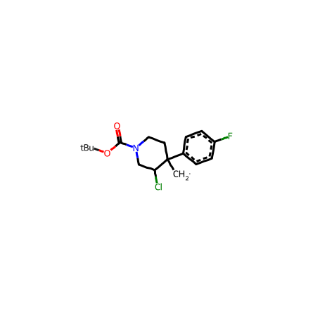 [CH2]C1(c2ccc(F)cc2)CCN(C(=O)OC(C)(C)C)CC1Cl